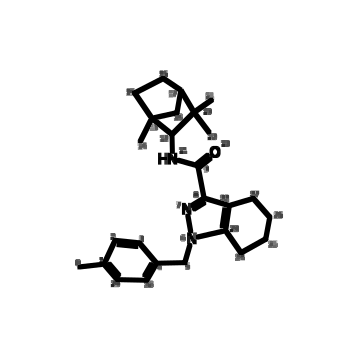 Cc1ccc(Cn2nc(C(=O)NC3C4(C)CCC(C4)C3(C)C)c3c2CCCC3)cc1